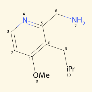 COc1ccnc(CN)c1CC(C)C